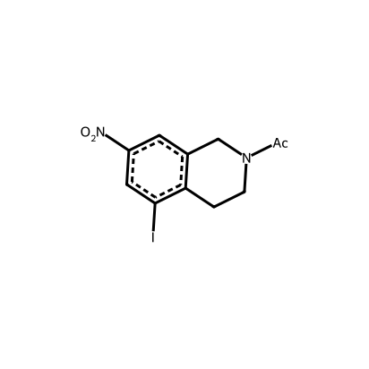 CC(=O)N1CCc2c(I)cc([N+](=O)[O-])cc2C1